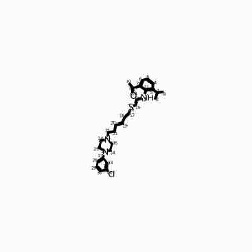 CC(C)c1cccc(C(C)C)c1NC(=O)CSCCCCCCN1CCN(c2cccc(Cl)c2)CC1